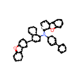 c1ccc(-c2ccc(N(c3ccc(-c4ccc5oc6ccccc6c5c4)c4ccccc34)c3cccc4c3oc3ccccc34)cc2)cc1